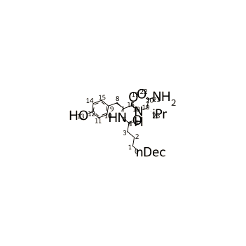 CCCCCCCCCCCCCC(=O)N[C@@H](Cc1ccc(O)cc1)C(=O)N[C@H](C(N)=O)C(C)C